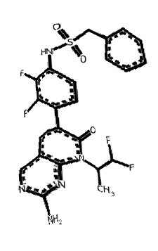 CC(C(F)F)n1c(=O)c(-c2ccc(NS(=O)(=O)Cc3ccccc3)c(F)c2F)cc2cnc(N)nc21